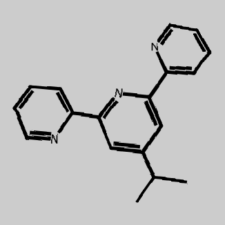 CC(C)c1cc(-c2ccccn2)nc(-c2ccccn2)c1